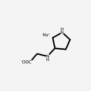 O=C([O-])CNC1CCNC1.[Na+]